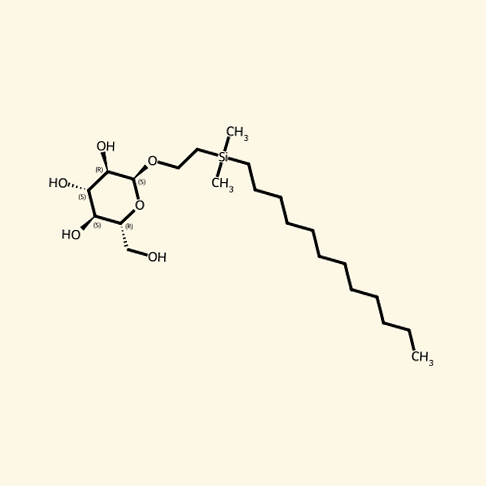 CCCCCCCCCCCC[Si](C)(C)CCO[C@H]1O[C@H](CO)[C@@H](O)[C@H](O)[C@H]1O